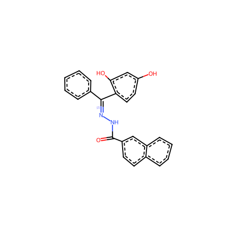 O=C(N/N=C(/c1ccccc1)c1ccc(O)cc1O)c1ccc2ccccc2c1